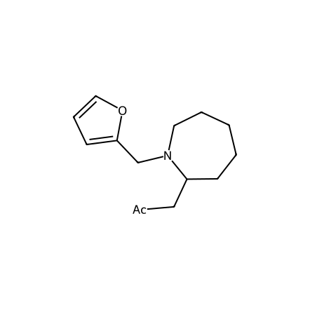 CC(=O)CC1CCCCCN1Cc1ccco1